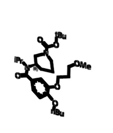 CCCCOc1ccc(C(=O)N(C(C)C)[C@@H]2CCCN(C(=O)OC(C)(C)C)C2)cc1OCCCOC